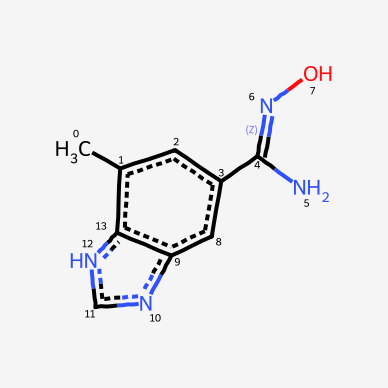 Cc1cc(/C(N)=N/O)cc2nc[nH]c12